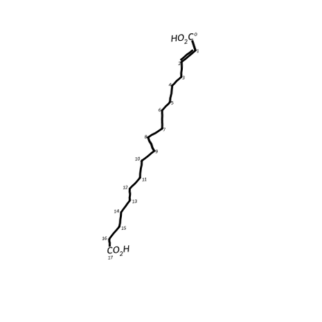 O=C(O)C=CCCCCCCCCCCCCCCC(=O)O